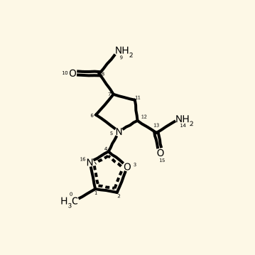 Cc1coc(N2CC(C(N)=O)CC2C(N)=O)n1